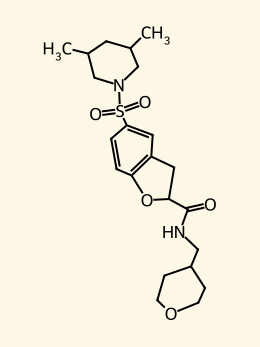 CC1CC(C)CN(S(=O)(=O)c2ccc3c(c2)CC(C(=O)NCC2CCOCC2)O3)C1